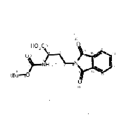 CC(C)(C)OC(=O)N[C@H](CCN1C(=O)c2ccccc2C1=O)C(=O)O